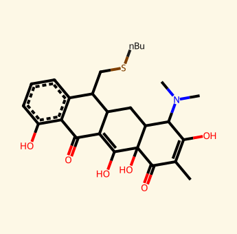 CCCCSCC1c2cccc(O)c2C(=O)C2=C(O)C3(O)C(=O)C(C)=C(O)C(N(C)C)C3CC21